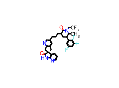 CC1C(c2cc(F)cc(F)c2F)CC(CC=Cc2cnc3c(c2)C[C@@]2(C3)C(=O)Nc3ncccc32)C(=O)N1CC(F)(F)F